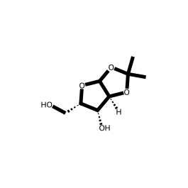 CC1(C)OC2O[C@@H](CO)[C@@H](O)[C@@H]2O1